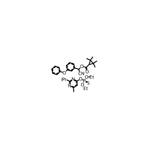 CC1(C)C(C(=O)OC(C#N)c2cccc(Oc3ccccc3)c2)C1(C)C.CCOP(=S)(OCC)Oc1cc(C)nc(C(C)C)n1